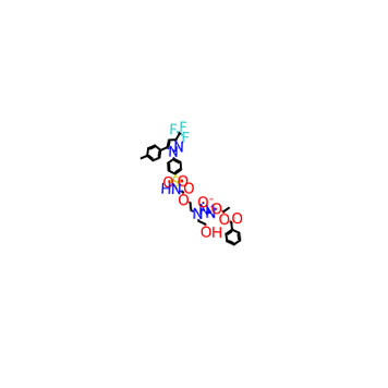 Cc1ccc(-c2cc(C(F)(F)F)nn2-c2ccc(S(=O)(=O)NC(=O)OCCN(CCO)[N+]([O-])=NOC(C)OC(=O)c3ccccc3)cc2)cc1